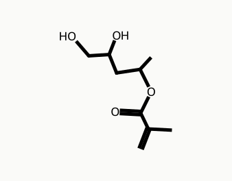 C=C(C)C(=O)OC(C)CC(O)CO